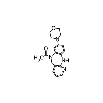 CC(=O)N1Cc2cccnc2Nc2ccc(N3CCOCC3)cc21